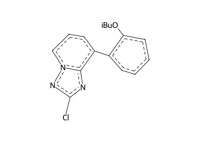 CC(C)COc1ccccc1-c1cccn2nc(Cl)nc12